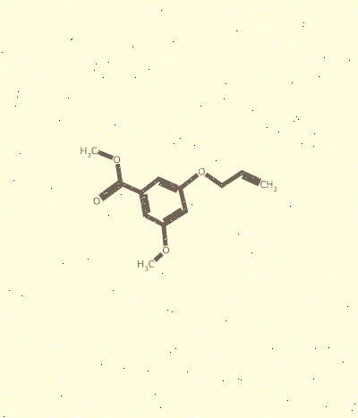 C=CCOc1cc(OC)cc(C(=O)OC)c1